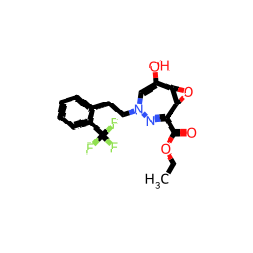 CCOC(=O)C1=NN(CCc2ccccc2C(F)(F)F)C=C(O)C2OC12